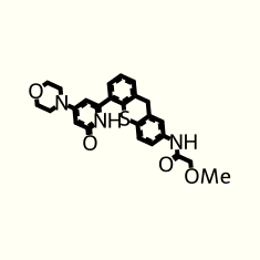 COCC(=O)Nc1ccc2c(c1)Cc1cccc(-c3cc(N4CCOCC4)cc(=O)[nH]3)c1S2